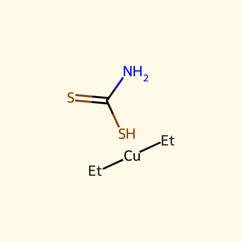 C[CH2][Cu][CH2]C.NC(=S)S